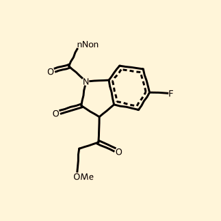 CCCCCCCCCC(=O)N1C(=O)C(C(=O)COC)c2cc(F)ccc21